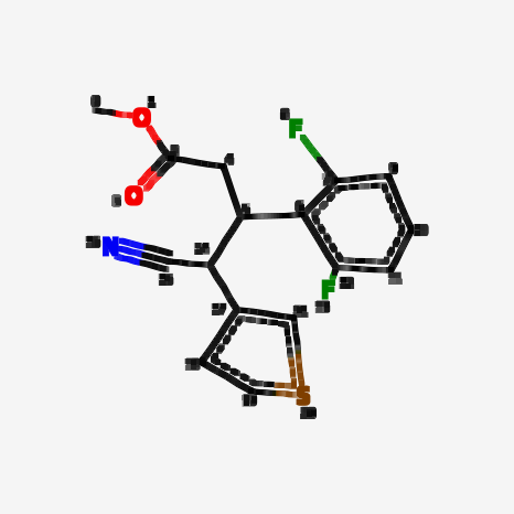 COC(=O)CC(c1c(F)cccc1F)C(C#N)c1ccsc1